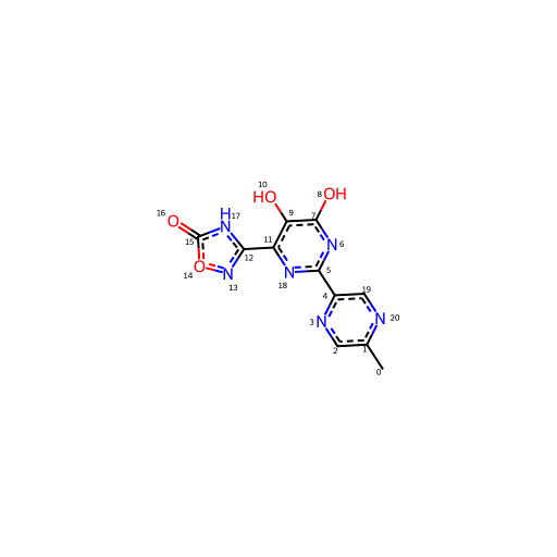 Cc1cnc(-c2nc(O)c(O)c(-c3noc(=O)[nH]3)n2)cn1